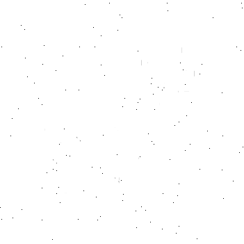 CC(C)(C)[Si](C)(C)OCCOc1c(Cl)ncc2c(O)nc(=O)[nH]c12